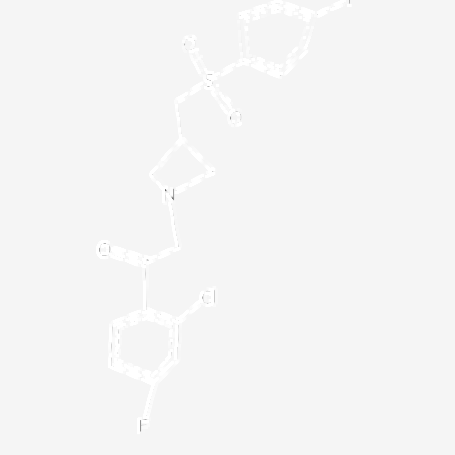 O=C(CN1CC(CS(=O)(=O)c2ccc(F)cc2)C1)c1ccc(F)cc1Cl